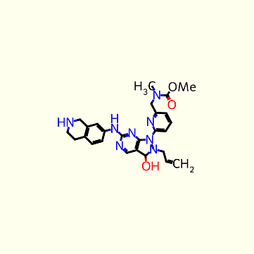 C=CCN1C(O)c2cnc(Nc3ccc4c(c3)CNCC4)nc2N1c1cccc(CN(C)C(=O)OC)n1